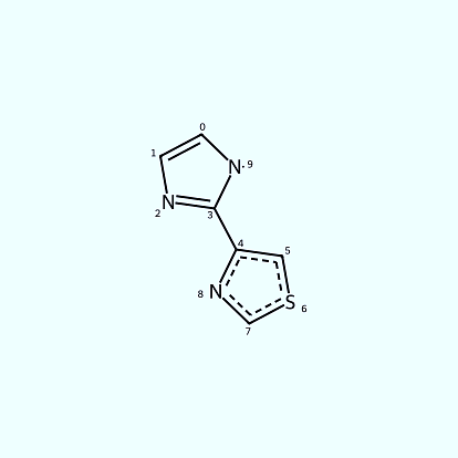 C1=CN=C(c2cscn2)[N]1